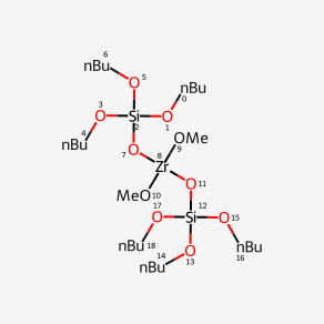 CCCCO[Si](OCCCC)(OCCCC)[O][Zr]([O]C)([O]C)[O][Si](OCCCC)(OCCCC)OCCCC